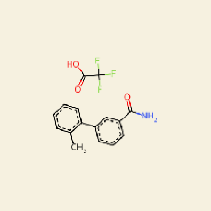 Cc1ccccc1-c1cccc(C(N)=O)c1.O=C(O)C(F)(F)F